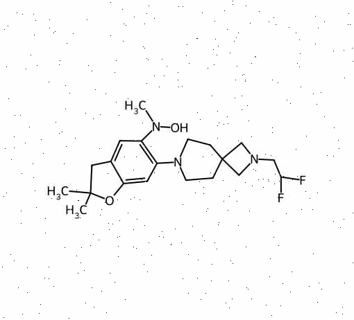 CN(O)c1cc2c(cc1N1CCC3(CC1)CN(CC(F)F)C3)OC(C)(C)C2